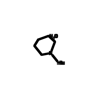 CCCCN1CCCCC1.O